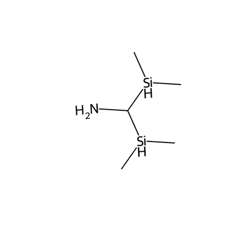 C[SiH](C)C(N)[SiH](C)C